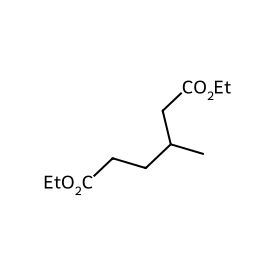 CCOC(=O)CCC(C)CC(=O)OCC